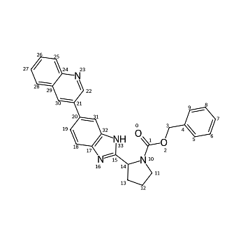 O=C(OCc1ccccc1)N1CCCC1c1nc2ccc(-c3cnc4ccccc4c3)cc2[nH]1